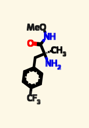 CONC(=O)[C@@](C)(N)Cc1ccc(C(F)(F)F)cc1